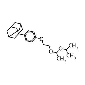 CC(C)OC(C)OCCOc1ccc(C23CC4CC(CC(C4)C2)C3)cc1